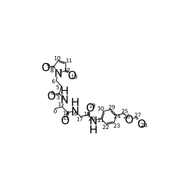 CC(NC(=O)CCN1C(=O)C=CC1=O)C(=O)NCC(=O)Nc1ccc(COC=O)cc1